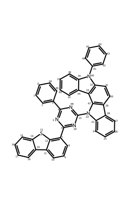 c1ccc(-c2nc(-c3cccc4c3sc3ccccc34)nc(-n3c4ccccc4c4ccc5c(c6ccccc6n5-c5ccccc5)c43)n2)cc1